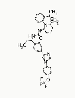 CCC(NC(=O)/N=C1\SCCC(C)N1c1ccccc1C(C)C)c1ccc(-c2ncn(-c3ccc(OC(F)(F)F)cc3)n2)cc1